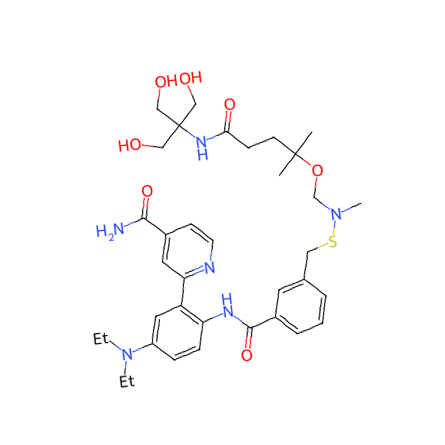 CCN(CC)c1ccc(NC(=O)c2cccc(CSN(C)COC(C)(C)CCC(=O)NC(CO)(CO)CO)c2)c(-c2cc(C(N)=O)ccn2)c1